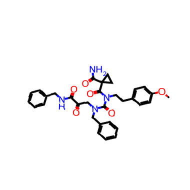 COc1ccc(CCN(C(=O)N(CC(=O)C(=O)NCc2ccccc2)Cc2ccccc2)C(=O)C2(C(N)=O)CC2)cc1